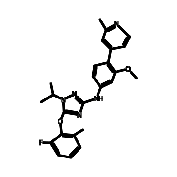 COc1cc(Nc2nc(Oc3c(C)cccc3F)n(C(C)C)n2)ccc1-c1ccnc(C)c1